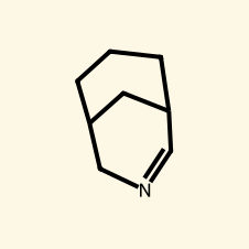 C1=NCC2CCCC1C2